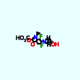 O=C(O)Oc1cn(C2CC2)c2c(F)c(N3C[C@H]4C[C@@H](O)[C@H]4C3)c(F)cc2c1=O